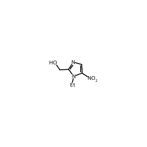 CCn1c([N+](=O)[O-])cnc1CO